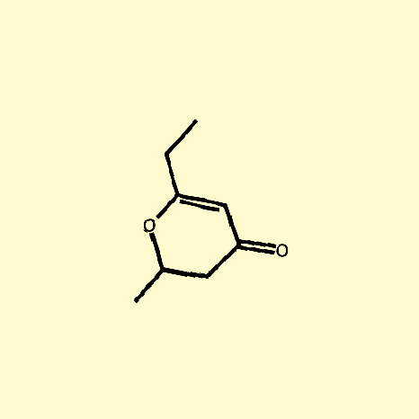 CCC1=CC(=O)CC(C)O1